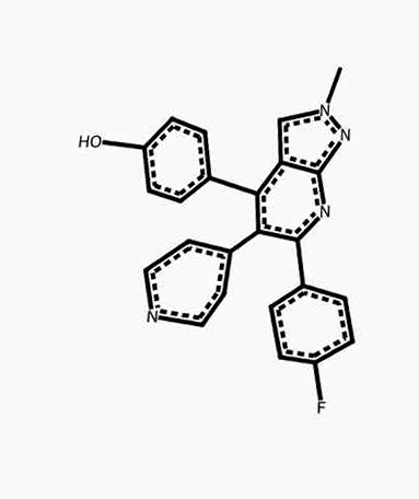 Cn1cc2c(-c3ccc(O)cc3)c(-c3ccncc3)c(-c3ccc(F)cc3)nc2n1